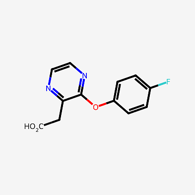 O=C(O)Cc1nccnc1Oc1ccc(F)cc1